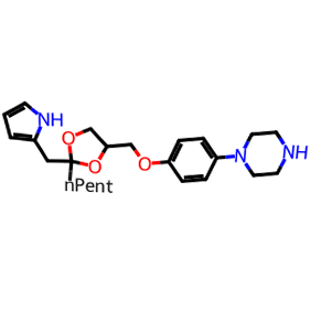 CCCCCC1(Cc2ccc[nH]2)OCC(COc2ccc(N3CCNCC3)cc2)O1